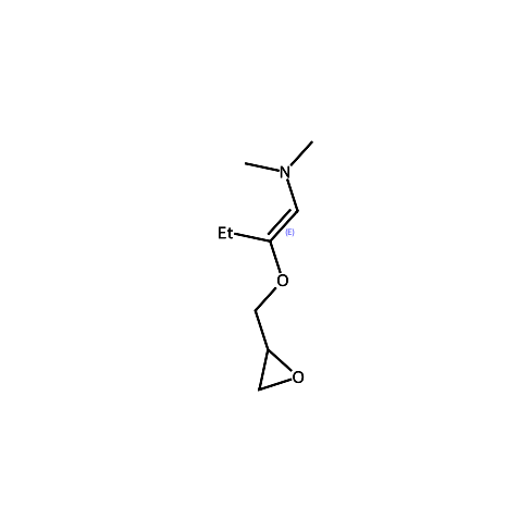 CC/C(=C\N(C)C)OCC1CO1